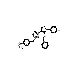 COc1ccc(Cn2nnc(-c3cnn(-c4ccc(F)cc4)c3SCc3ccccc3)n2)cc1